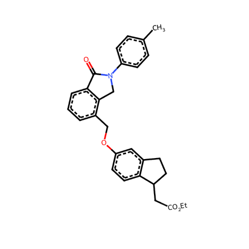 CCOC(=O)CC1CCc2cc(OCc3cccc4c3CN(c3ccc(C)cc3)C4=O)ccc21